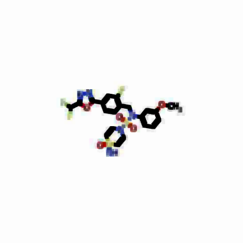 COc1cccc(N(Cc2ccc(-c3nnc(C(F)F)o3)cc2F)S(=O)(=O)N2C=CS(=N)(=O)C=C2)c1